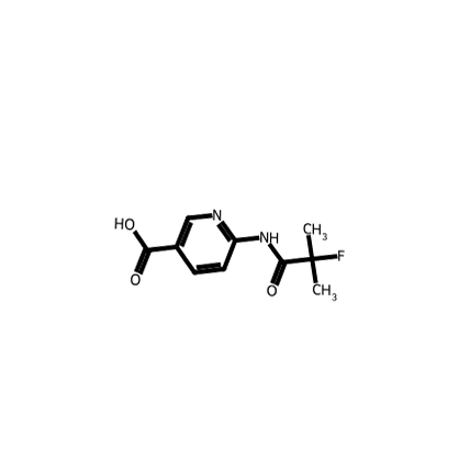 CC(C)(F)C(=O)Nc1ccc(C(=O)O)cn1